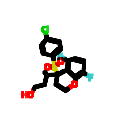 CC(CCO)C1(S(=O)(=O)c2ccc(Cl)cc2)CCOc2c(F)ccc(F)c21